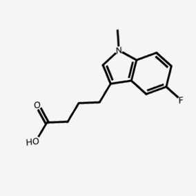 Cn1cc(CCCC(=O)O)c2cc(F)ccc21